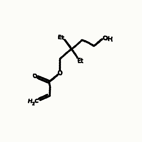 C=CC(=O)OCC(CC)(CC)CCO